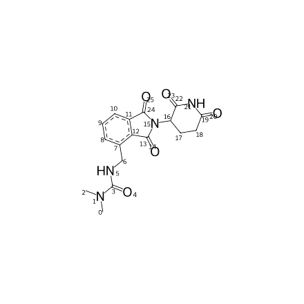 CN(C)C(=O)NCc1cccc2c1C(=O)N(C1CCC(=O)NC1=O)C2=O